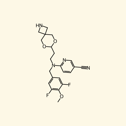 COc1c(F)cc(CN(CCC2OCC3(CNC3)CO2)c2ccc(C#N)cn2)cc1F